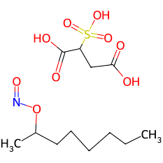 CCCCCCC(C)ON=O.O=C(O)CC(C(=O)O)S(=O)(=O)O